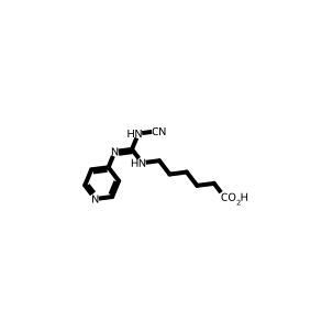 N#CNC(=Nc1ccncc1)NCCCCCC(=O)O